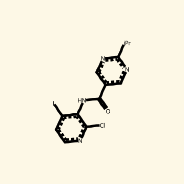 CC(C)c1ncc(C(=O)Nc2c(I)ccnc2Cl)cn1